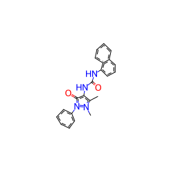 Cc1c(NC(=O)Nc2cccc3ccccc23)c(=O)n(-c2ccccc2)n1C